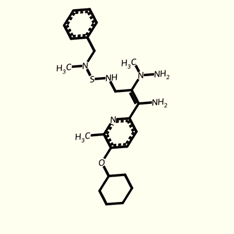 Cc1nc(/C(N)=C(\CNSN(C)Cc2ccccc2)N(C)N)ccc1OC1CCCCC1